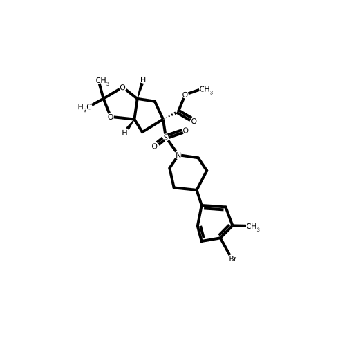 COC(=O)[C@]1(S(=O)(=O)N2CCC(c3ccc(Br)c(C)c3)CC2)C[C@@H]2OC(C)(C)O[C@@H]2C1